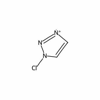 ClN1C=C[N+]=N1